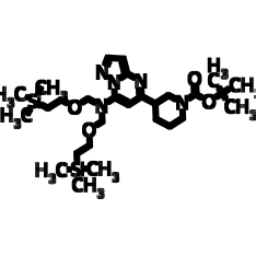 CC(C)(C)OC(=O)N1CCCC(c2cc(N(COCC[Si](C)(C)C)COCC[Si](C)(C)C)n3nccc3n2)C1